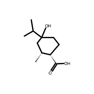 CC(C)C1(O)CC[C@H](C(=O)O)[C@H](C)C1